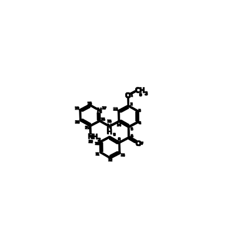 COc1ccc(C(=O)c2ccccc2)c(Nc2ncccc2N)c1